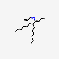 C=C/C=N\C(=C/CC)C(CCCCCC)CCCCCC